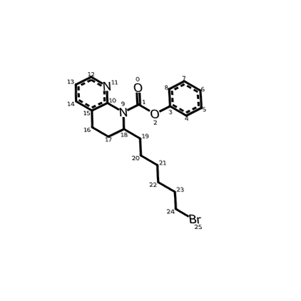 O=C(Oc1ccccc1)N1c2ncccc2CCC1CCCCCCBr